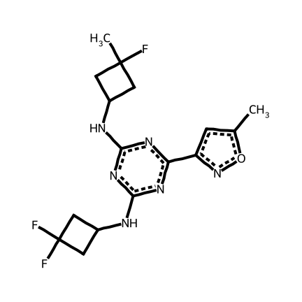 Cc1cc(-c2nc(NC3CC(C)(F)C3)nc(NC3CC(F)(F)C3)n2)no1